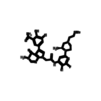 COCCN1CCN(c2cc(NC(=O)Cn3cc(-c4cc(Cl)c(O)c(C(N)=O)c4)c4c(=O)n(C)cnc43)c(Cl)c(F)n2)[C@@H](C)C1